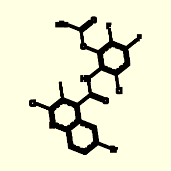 CCCCC(=O)Oc1c(F)c(F)cc(Cl)c1NC(=O)c1c(C)c(Cl)nc2ccc(Br)cc12